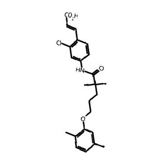 Cc1ccc(C)c(OCCCC(C)(C)C(=O)Nc2ccc(/C=C/C(=O)O)c(Cl)c2)c1